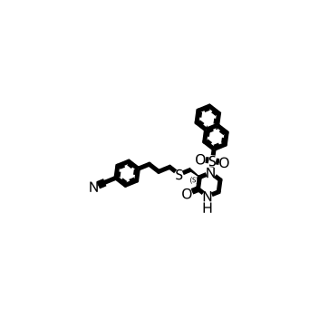 N#Cc1ccc(CCCSC[C@@H]2C(=O)NCCN2S(=O)(=O)c2ccc3ccccc3c2)cc1